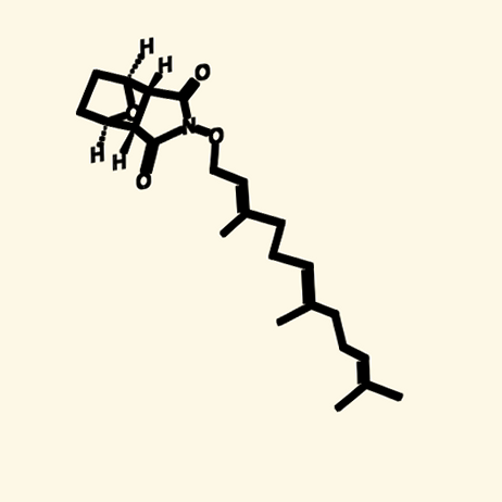 CC(C)=CCC/C(C)=C/CC/C(C)=C/CON1C(=O)[C@@H]2[C@H](C1=O)[C@H]1CC[C@@H]2O1